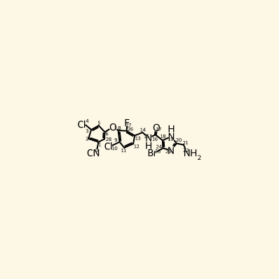 N#Cc1cc(Cl)cc(Oc2c(Cl)ccc(CNC(=O)c3[nH]c(CN)nc3Br)c2F)c1